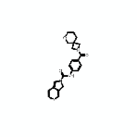 O=C(Nc1ccc(C(=O)N2CC3(CCCOC3)C2)cc1)N1C=C2C=CNC=C2C1